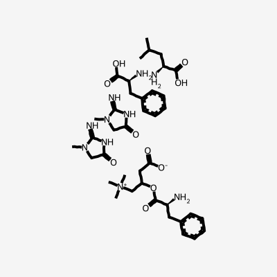 CC(C)C[C@H](N)C(=O)O.CN1CC(=O)NC1=N.CN1CC(=O)NC1=N.C[N+](C)(C)CC(CC(=O)[O-])OC(=O)[C@@H](N)Cc1ccccc1.N[C@@H](Cc1ccccc1)C(=O)O